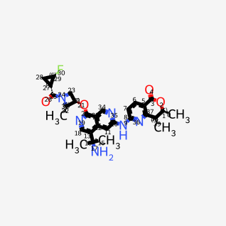 C[C@@H]1OC(=O)c2ccc(Nc3cc4c(C(C)(C)N)cnc(O[C@@H]5CN(C(=O)[C@@H]6C[C@@H]6F)[C@H]5C)c4cn3)nc2[C@H]1C